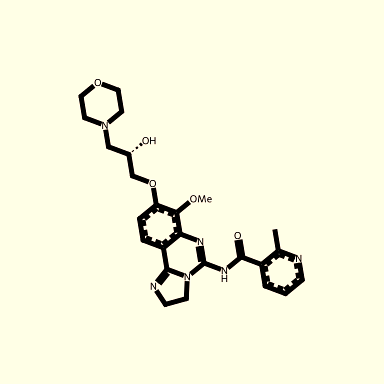 COc1c(OC[C@@H](O)CN2CCOCC2)ccc2c1N=C(NC(=O)c1cccnc1C)N1CCN=C21